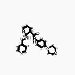 O=C(Nc1ccc(N2CCOCC2)cc1)c1cccnc1NCc1ccncc1